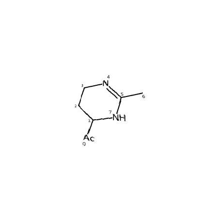 CC(=O)C1CCN=C(C)N1